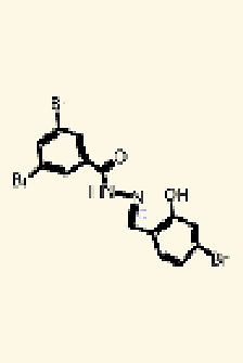 O=C(N/N=C/c1ccc(Br)cc1O)c1cc(Br)cc(Br)c1